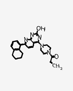 C=CC(=O)N1CCN(c2nc(O)nc3nc(-c4cccc5c4CCCC5)ccc23)CC1